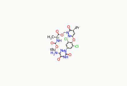 CC(C)c1cc(Oc2c(Cl)cc(-n3nc(N)c(=O)[nH]c3=O)cc2Cl)nn(COC(=O)[C@H](C)NC(=O)OC(C)(C)C)c1=O